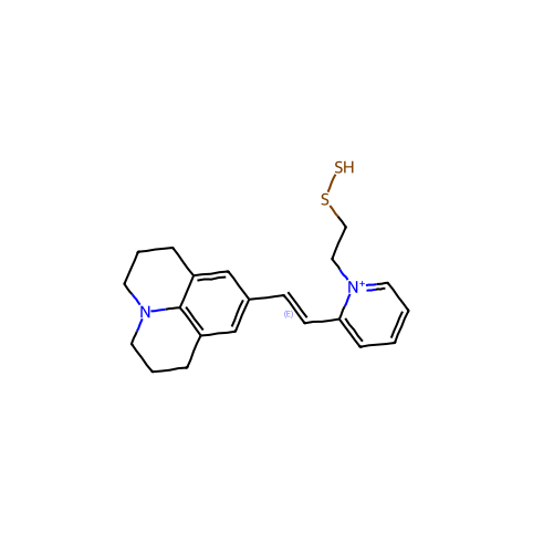 SSCC[n+]1ccccc1/C=C/c1cc2c3c(c1)CCCN3CCC2